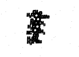 COC(=O)[C@]12CCC(C)(C)CC1C1C(=O)C=C3[C@@]4(C)C=C(C#N)C(O)[C@@](C)(CCO[Si](C)(C)C(C)(C)C)[C@@H]4CC[C@@]3(C)[C@]1(C)CC2